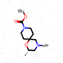 CCCN1C[C@H](C)OC2(CCN(C(=O)OC(C)(C)C)CC2)C1